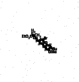 CCOC(=O)C(C)(C)ON=Cc1cc(Br)c(Oc2ccc(OC)c(C(C)CC)c2)c(Br)c1